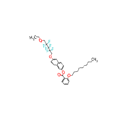 CCCCCCCCCCOc1ccccc1C(=O)Oc1ccc2cc(OCC(F)(F)C(F)(F)C(F)(F)COCC)ccc2c1